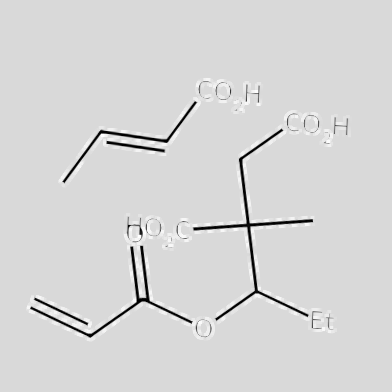 C=CC(=O)OC(CC)C(C)(CC(=O)O)C(=O)O.CC=CC(=O)O